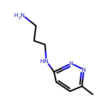 Cc1ccc(NCCCN)nn1